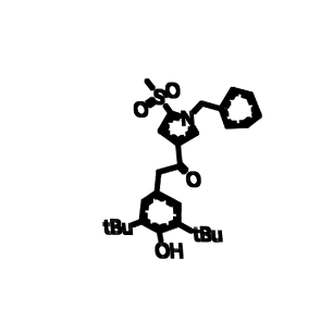 CC(C)(C)c1cc(CC(=O)c2cc(S(C)(=O)=O)n(Cc3ccccc3)c2)cc(C(C)(C)C)c1O